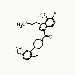 COCCn1cc(C(=O)N2CCC(c3cc(CN)ccc3F)CC2)c2ccc(F)c(C)c21